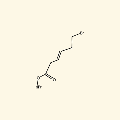 CCCOC(=O)CC=CCCBr